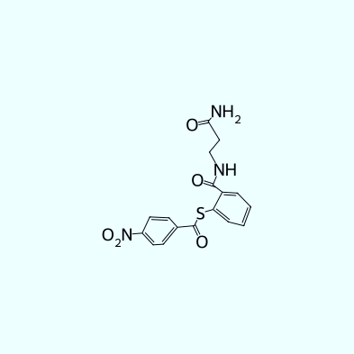 NC(=O)CCNC(=O)c1ccccc1SC(=O)c1ccc([N+](=O)[O-])cc1